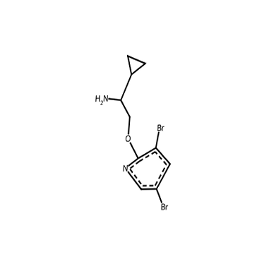 NC(COc1ncc(Br)cc1Br)C1CC1